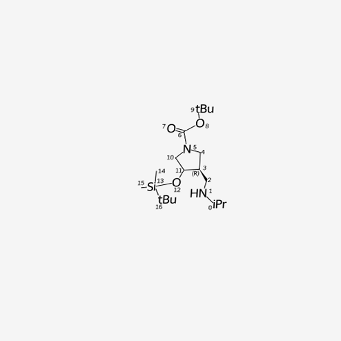 CC(C)NC[C@@H]1CN(C(=O)OC(C)(C)C)CC1O[Si](C)(C)C(C)(C)C